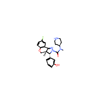 CN(C(=O)N1N=C2c3cc(F)ccc3OC[C@H]2[C@H]1c1cccc(O)c1)C1CCNCC1